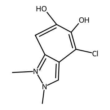 Cn1cc2c(Cl)c(O)c(O)cc2[n+]1C